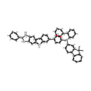 CC1(C)c2ccccc2-c2ccc(N(c3ccc(-c4ccc5c(c4)oc4cc6c(cc45)NC(c4ccccc4)O6)cc3)c3ccccc3-c3ccccc3)cc21